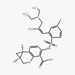 CCN(CC)C/C(C)=C\c1cc(F)ccc1S(=O)(=O)Nc1ccc2c(c1C(=O)O)OC[C@@H]1C[C@H]21